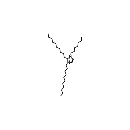 CCCCCCCCCCCN1C=CN(CCCCCCC)C1CCCCCCCCCC